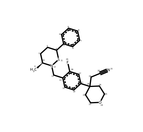 C[C@H]1CCC(c2ccccc2)SN1Cc1ccc(C2(CC#N)CCOCC2)cc1F